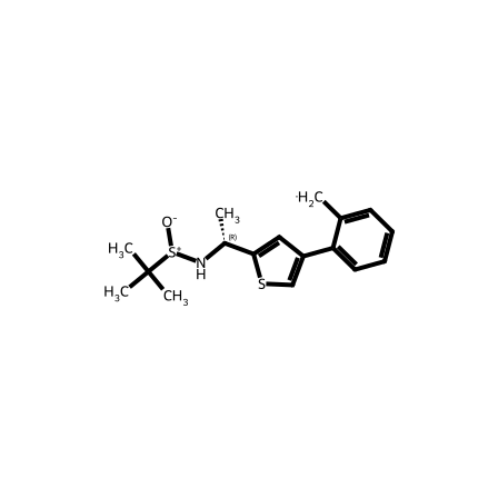 [CH2]c1ccccc1-c1csc([C@@H](C)N[S+]([O-])C(C)(C)C)c1